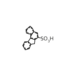 O=S(=O)(O)c1cc2ccccc2c2c1Cc1ccccc1-2